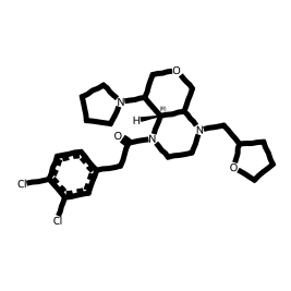 O=C(Cc1ccc(Cl)c(Cl)c1)N1CCN(CC2CCCO2)C2COCC(N3CCCC3)[C@H]21